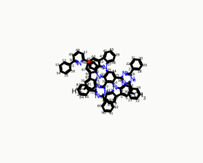 Cc1ccc2c(c1)c1ccccc1n2-c1c(-c2nc(-c3ccccc3)nc(-c3ccccc3)n2)cc(-n2c3ccccc3c3cc(-c4cccc(-c5ccccc5)n4)ccc32)c(-n2c3ccccc3c3cc(C)ccc32)c1-c1nc(-c2ccccc2)nc(-c2ccccc2)n1